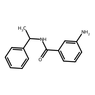 CC(NC(=O)c1c[c]cc(N)c1)c1ccccc1